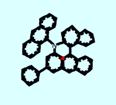 c1ccc(-c2cccc(N(c3ccc4ccccc4c3-c3cccc4ccccc34)c3c4ccccc4cc4ccccc34)c2)cc1